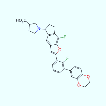 O=C(O)C1CCN(C2CCc3c2cc2cc(-c4cccc(-c5ccc6c(c5)OCCO6)c4F)oc2c3F)C1